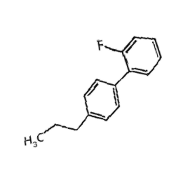 CCCc1ccc(-c2ccccc2F)cc1